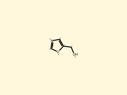 OCc1[c]nco1